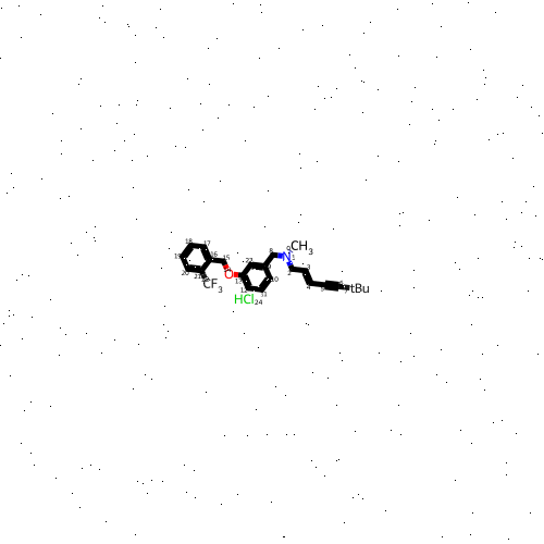 CN(C/C=C/C#CC(C)(C)C)Cc1cccc(OCc2ccccc2C(F)(F)F)c1.Cl